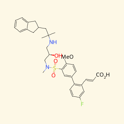 COc1ccc(-c2ccc(F)cc2/C=C/C(=O)O)cc1S(=O)(=O)N(C)C[C@H](O)CNC(C)(C)CC1Cc2ccccc2C1